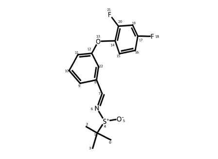 CC(C)(C)[S+]([O-])/N=C/c1cccc(Oc2ccc(F)cc2F)c1